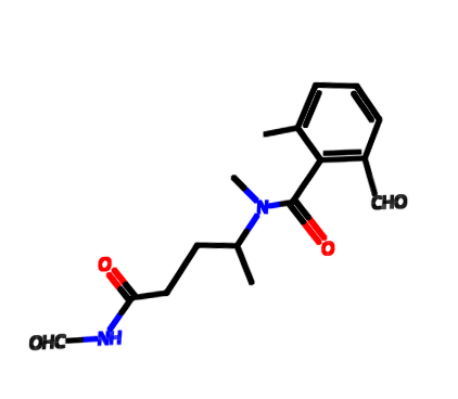 Cc1cccc(C=O)c1C(=O)N(C)C(C)CCC(=O)NC=O